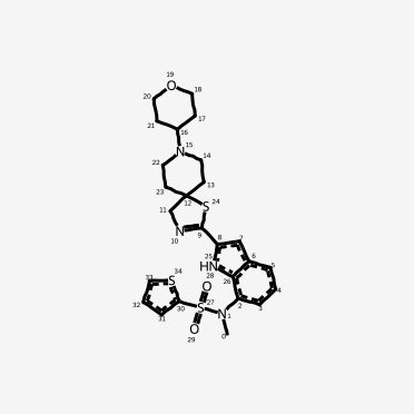 CN(c1cccc2cc(C3=NCC4(CCN(C5CCOCC5)CC4)S3)[nH]c12)S(=O)(=O)c1cccs1